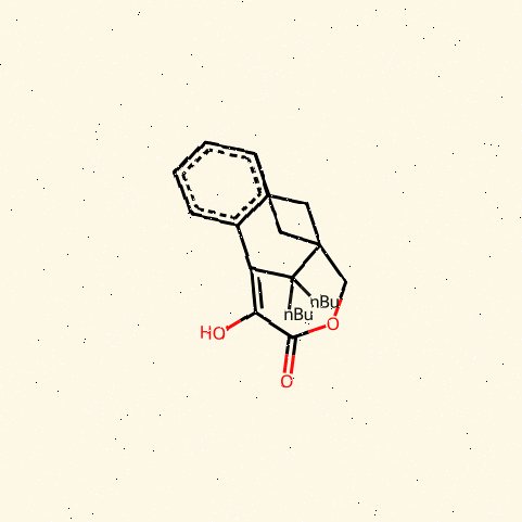 CCCCC1(CCCC)C2=C(O)C(=O)OCC13Cc1cccc2c1C3